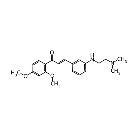 COc1ccc(C(=O)C=Cc2cccc(NCCN(C)C)c2)c(OC)c1